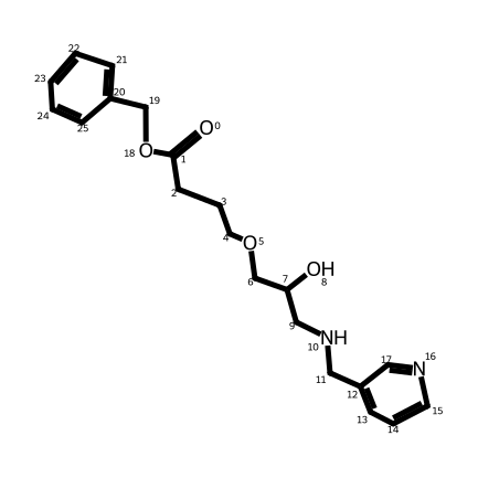 O=C(CCCOCC(O)CNCc1cccnc1)OCc1ccccc1